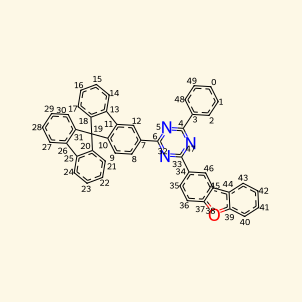 c1ccc(-c2nc(-c3ccc4c(c3)-c3ccccc3C43c4ccccc4-c4ccccc43)nc(-c3ccc4oc5ccccc5c4c3)n2)cc1